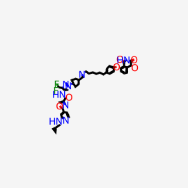 CN(CCCCCCc1ccc(Oc2cccc3c2C(=O)NC(=O)C3=O)cc1)CC1CCC(n2cc(NC(=O)c3coc(-c4ccnc(NCC5CC5)c4)n3)c(C(F)F)n2)CC1